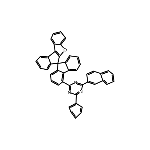 c1ccc(-c2nc(-c3ccc4ccccc4c3)nc(-c3cccc4c3-c3ccccc3C43c4ccccc4-c4c3oc3ccccc43)n2)cc1